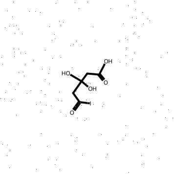 O=C(O)CC(O)(O)CC(=O)I